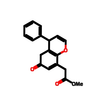 COC(=O)CC1=CC(=O)CC2=C1OC=CC2c1ccccc1